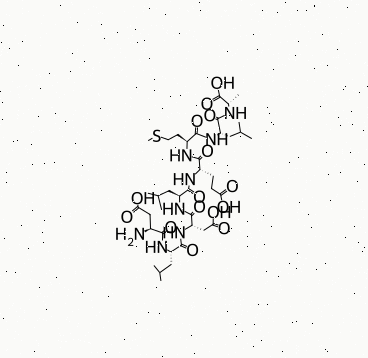 CSCC[C@H](NC(=O)[C@H](CCC(=O)O)NC(=O)[C@H](CC(C)C)NC(=O)[C@H](CC(=O)O)NC(=O)[C@H](CC(C)C)NC(=O)[C@@H](N)CC(=O)O)C(=O)N[C@@H](CC(C)C)C(=O)N[C@@H](C)C(=O)O